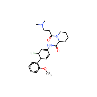 CN(C)CCC(=O)N1CCCCC1C(=O)NC1=CC(Cl)C(c2ccccc2OC(F)(F)F)C=C1